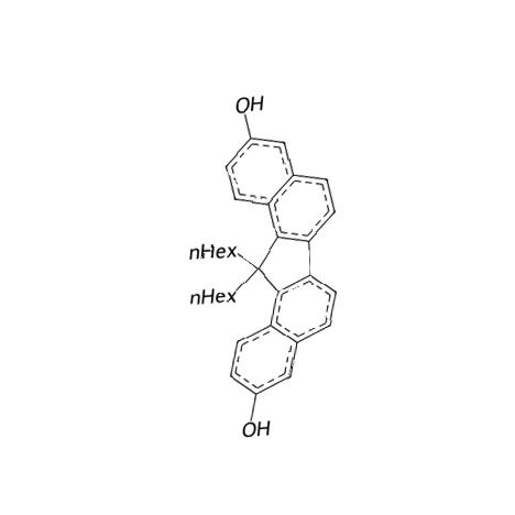 CCCCCCC1(CCCCCC)c2c(ccc3cc(O)ccc23)-c2ccc3cc(O)ccc3c21